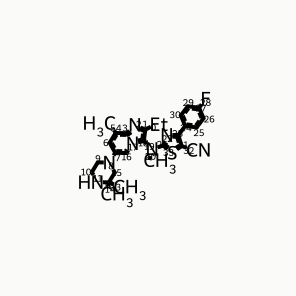 CCc1nc2c(C)cc(N3CCNC(C)(C)C3)cn2c1N(C)c1nc(-c2ccc(F)cc2)c(C#N)s1